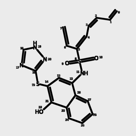 C=C/C=C\C=C(/C=C)S(=O)(=O)Nc1cc(Sc2nc[nH]n2)c(O)c2ccccc12